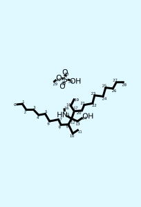 CCCCCCCCCC(CC)C(CO)(NC)C(CC)CCCCCCCCC.COS(=O)(=O)O